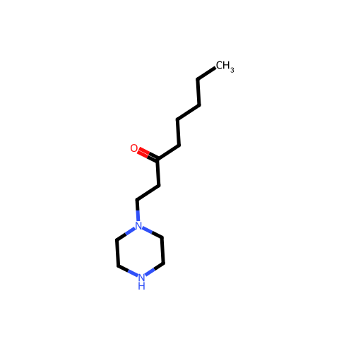 CCCCCC(=O)CCN1CCNCC1